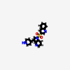 O=S(=O)(c1cnc2ccccc2c1)n1cc(C2=CCNCC2)c2ncccc21